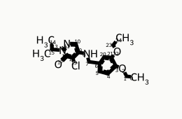 CCOc1ccc(CNc2cnn(C(C)C)c(=O)c2Cl)cc1OCC